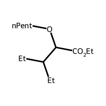 CCCCCOC(C(=O)OCC)C(CC)CC